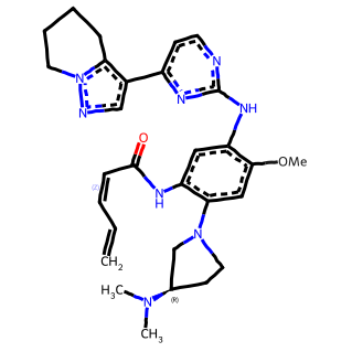 C=C/C=C\C(=O)Nc1cc(Nc2nccc(-c3cnn4c3CCCC4)n2)c(OC)cc1N1CC[C@@H](N(C)C)C1